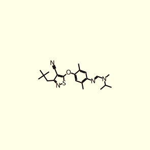 Cc1cc(Oc2snc(CC(C)(C)C)c2C#N)c(C)cc1N=CN(C)C(C)C